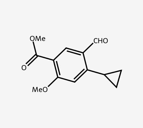 COC(=O)c1cc(C=O)c(C2CC2)cc1OC